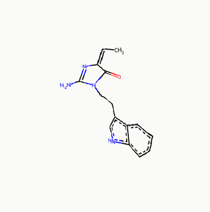 C/C=C1/N=C(N)N(CCc2c[nH]c3ccccc23)C1=O